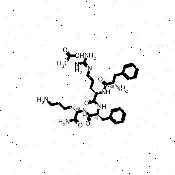 CC(=O)O.NCCCC[C@H](NC(=O)[C@H](Cc1ccccc1)NC(=O)[C@@H](CCCN=C(N)N)NC(=O)[C@@H](N)Cc1ccccc1)C(N)=O